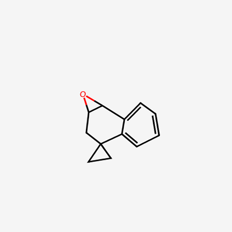 c1ccc2c(c1)C1OC1CC21CC1